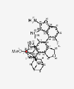 COc1nc(N2C3CC2CN(C(=O)OC(C)(C)C)C3)c2c3c(c(-c4c(F)ccc5oc(N)c(C#N)c45)c(F)c2n1)COC3